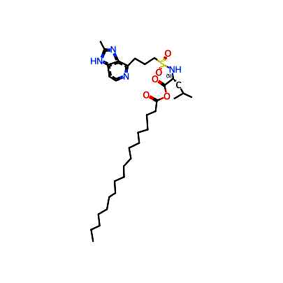 CCCCCCCCCCCCCCCCCC(=O)OC(=O)[C@H](CC(C)C)NS(=O)(=O)CCCc1nccc2[nH]c(C)nc12